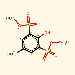 O=S(=O)(O)OS(=O)(=O)c1cc(S(=O)(=O)O)cc(S(=O)(=O)OS(=O)(=O)O)c1O